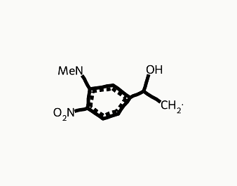 [CH2]C(O)c1ccc([N+](=O)[O-])c(NC)c1